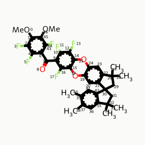 COc1c(F)c(F)c(C(=O)c2c(F)c(F)c3c(c2F)Oc2cc4c(cc2O3)C(C)(C)CC42CC(C)(C)c3cc(C)c(C)cc32)c(F)c1OC